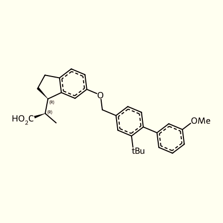 COc1cccc(-c2ccc(COc3ccc4c(c3)[C@@H]([C@@H](C)C(=O)O)CC4)cc2C(C)(C)C)c1